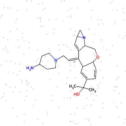 CC(C)(O)C1=CC2/C(=C/CN3CCC(N)CC3)C3=CC4CN4C3COC2C=C1